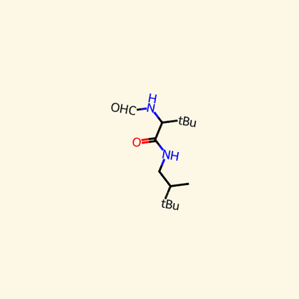 CC(CNC(=O)C(NC=O)C(C)(C)C)C(C)(C)C